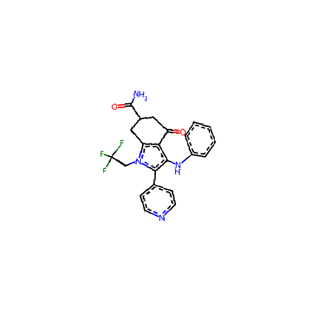 NC(=O)C1CC(=O)c2c(Nc3ccccc3)c(-c3ccncc3)n(CC(F)(F)F)c2C1